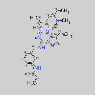 C=CC(=O)Nc1cccc(CNc2nc(N[C@@H](C)CC[C@H](CC)N(C)C)nc3c(CC)cnn23)c1